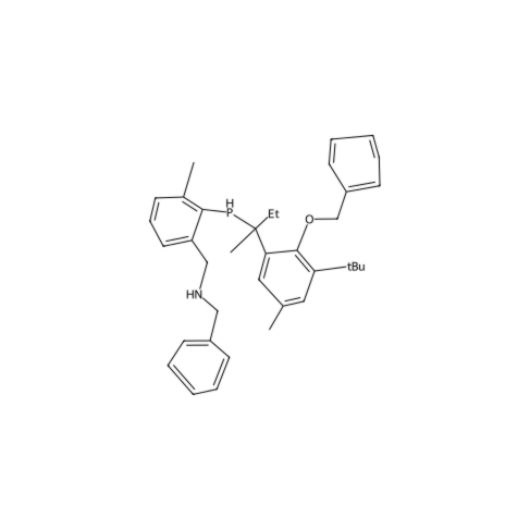 CCC(C)(Pc1c(C)cccc1CNCc1ccccc1)c1cc(C)cc(C(C)(C)C)c1OCc1ccccc1